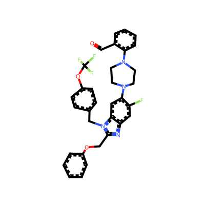 O=Cc1ccccc1N1CCN(c2cc3c(cc2F)nc(COc2ccccc2)n3Cc2ccc(OC(F)(F)F)cc2)CC1